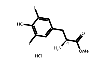 COC(=O)[C@@H](N)Cc1cc(I)c(O)c(I)c1.Cl